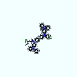 C=C/C(F)=C\C=C(/C)N(c1ccc(-c2ccc(N(C3=CC4c5ccccc5N(C5C=CC=CC5C)C4(C)C(C)C3)c3ccc(F)cc3)cc2)cc1)c1ccc2c(c1)c1ccccc1n2-c1ccccc1